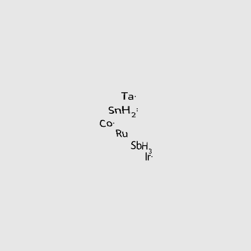 [Co].[Ir].[Ru].[SbH3].[SnH2].[Ta]